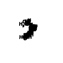 COc1c(Cl)cncc1C1CN(C(=O)[C@@H]2CC[C@@H]3CCC[C@H](NC(=O)c4cc5cc(C(F)P(=O)(O)O)ccc5s4)C(=O)N32)C1